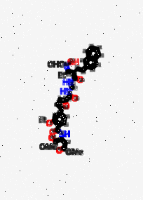 CCOc1cc(-c2ccc(C(=O)NCNC(=O)[C@H](CCc3ccc4ccccc4c3)[C@@H](CC)N(O)C=O)o2)ccc1C(=O)NC(CC(=O)OC)C(=O)OC